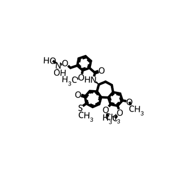 COc1cc2c(c(OC)c1OC)-c1ccc(SC)c(=O)cc1[C@@H](NC(=O)c1cccc(CON(O)O)c1OC)CC2